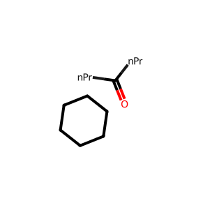 C1CCCCC1.CCCC(=O)CCC